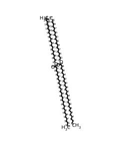 CCCCCCCCCCCCCCCCCCCCCCCCCCCCCC(=O)OCCCCCCCCCCCCCCCCCCCCC.CCCCCCCCCCCCCCCCCCCCCCCCCCCCCC(=O)OCCCCCCCCCCCCCCCCCCCCCC